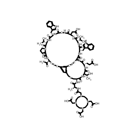 CC(C)[C@@H]1NC(=O)[C@H](Cc2c[nH]c3ccccc23)NC(=O)[C@@H]2CSCc3cc(cc(c3)CSC[C@H](NC(=O)[C@H](C)NC(=O)CN3CCN(CC(=O)O)CCN(CC(=O)O)CCN(CC(=O)O)CC3)C(=O)NC([C@@H](C)O)C(=O)N[C@@H](CCC(=O)O)C(=O)N2)CSC[C@@H](C(N)=O)NC(=O)[C@@H]2CCCN2C(=O)[C@H](C(C)C)NC(=O)[C@H](Cc2c[nH]c3ccccc23)NC(=O)CNC(=O)C(CC(=O)O)NC1=O